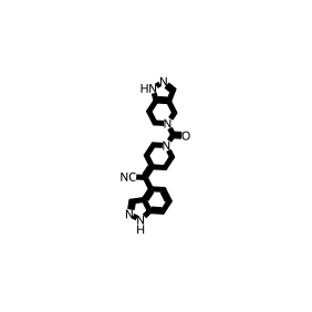 N#CC(=C1CCN(C(=O)N2CCc3[nH]ncc3C2)CC1)c1cccc2[nH]ncc12